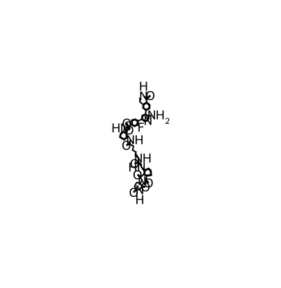 Nc1ncc(-c2ccc(S(=O)(=O)Nc3cccc(NC(=O)CCCCNC(=O)CNc4cccc5c4C(=O)N(C4CCC(=O)NC4=O)C5=O)c3)cc2F)cc1-c1ccc2c(c1)CCNC2=O